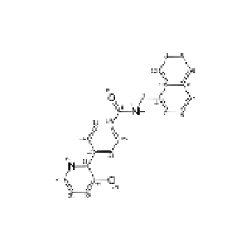 O=C(NCc1cccc2ccccc12)c1ccc(-c2ncccc2Cl)cc1